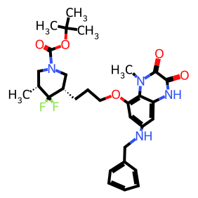 C[C@@H]1CN(C(=O)OC(C)(C)C)C[C@H](CCCOc2cc(NCc3ccccc3)cc3[nH]c(=O)c(=O)n(C)c23)C1(F)F